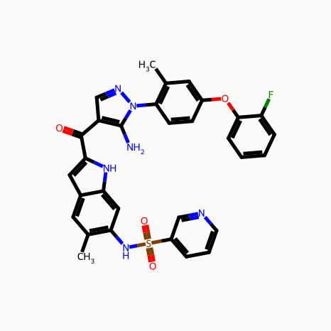 Cc1cc2cc(C(=O)c3cnn(-c4ccc(Oc5ccccc5F)cc4C)c3N)[nH]c2cc1NS(=O)(=O)c1cccnc1